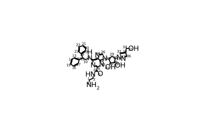 NCCNC(=O)c1nc(NCC(c2ccccc2)c2ccccc2)c2ncn([C@@H]3C[C@H](n4cc(CO)cn4)[C@@H](O)[C@H]3O)c2n1